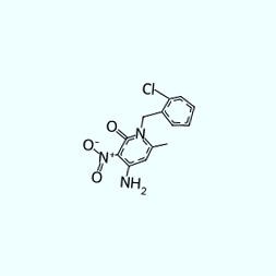 Cc1cc(N)c([N+](=O)[O-])c(=O)n1Cc1ccccc1Cl